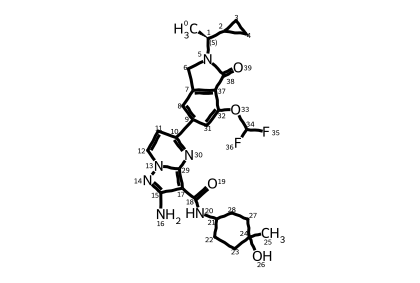 C[C@@H](C1CC1)N1Cc2cc(-c3ccn4nc(N)c(C(=O)NC5CCC(C)(O)CC5)c4n3)cc(OC(F)F)c2C1=O